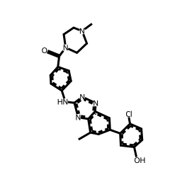 Cc1cc(-c2cc(O)ccc2Cl)cc2nnc(Nc3ccc(C(=O)N4CCN(C)CC4)cc3)nc12